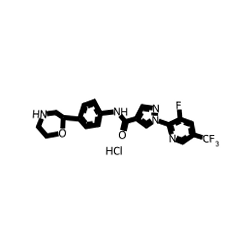 Cl.O=C(Nc1ccc(C2CNCCO2)cc1)c1cnn(-c2ncc(C(F)(F)F)cc2F)c1